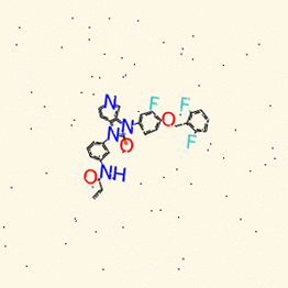 C=CC(=O)Nc1cccc(-n2c(=O)n(-c3ccc(OCc4c(F)cccc4F)c(F)c3)c3cnccc32)c1